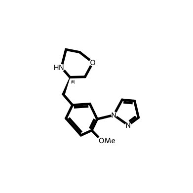 COc1ccc(C[C@@H]2COCCN2)cc1-n1cccn1